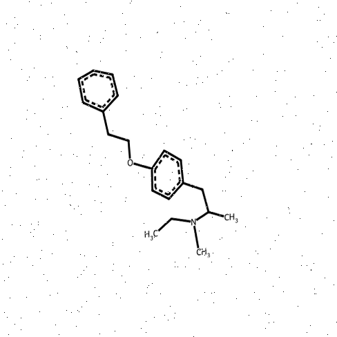 CCN(C)C(C)Cc1ccc(OCCc2ccccc2)cc1